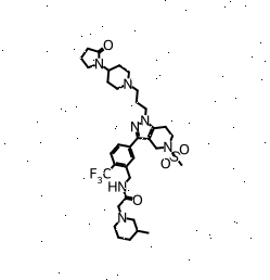 CC1CCCN(CC(=O)NCc2cc(-c3nn(CCCN4CCC(N5CCCC5=O)CC4)c4c3CN(S(C)(=O)=O)CC4)ccc2C(F)(F)F)C1